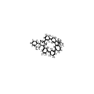 CCC1C(c2ccccc2)=NC(c2ccccc2)=NC1c1cccc(-c2cccc(C3=CC4=C(C=CC3)C(CC)(CC)C3CC=CC=C43)c2)c1